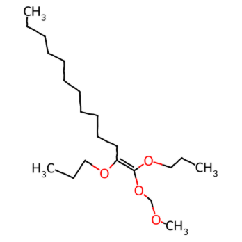 CCCCCCCCCCC/C(OCCC)=C(\OCCC)OCOC